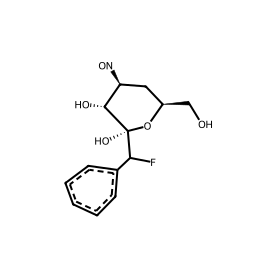 O=N[C@H]1C[C@@H](CO)O[C@@](O)(C(F)c2ccccc2)[C@@H]1O